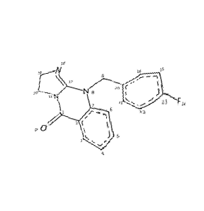 O=C1c2ccccc2N(Cc2ccc(F)cc2)C2=NCCN12